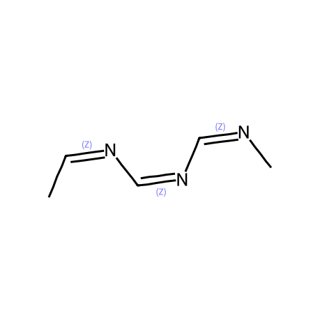 C\C=N/C=N\C=N/C